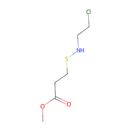 COC(=O)CCSNCCCl